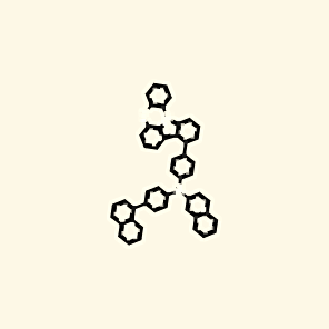 c1ccc2c(c1)Sc1cccc3c4c(-c5ccc(N(c6ccc(-c7cccc8ccccc78)cc6)c6ccc7ccccc7c6)cc5)cccc4n-2c13